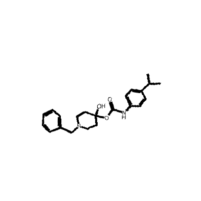 CC(C)c1ccc(NC(=O)OC2(O)CCN(Cc3ccccc3)CC2)cc1